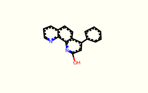 Oc1cc(-c2ccccc2)c2ccc3cccnc3c2n1